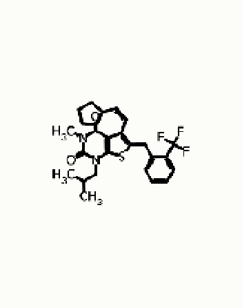 CC(C)Cn1c(=O)n(C)c(=O)c2c(/C=C\C3CCCC3)c(Cc3ccccc3C(F)(F)F)sc21